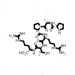 C[C@H](NC(=O)[C@@H]1CCCN1)C(=O)N1CCC[C@H]1C(=O)N[C@@H](CCCNC(=N)N)C(=O)N[C@H](C(=O)N[C@@H](CCCNC(=N)N)C(=O)O)[C@@H](C)O